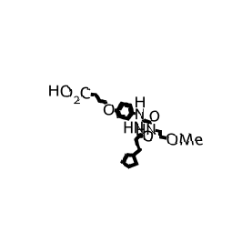 COCCNC(=O)C(NC(=O)CCC1CCCC1)Nc1ccc(OCCCC(=O)O)cc1